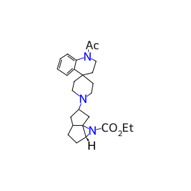 CCOC(=O)N1[C@@H]2CCC3CC(N4CCC5(CCN(C(C)=O)c6ccccc65)CC4)CC321